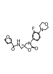 O=C(NC[C@H]1CN(c2ccc(N3CCOCC3)c(F)c2)C(=O)O1)c1ccoc1